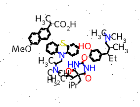 C=CCC1(CC(C)C)C(=O)NC(=O)NC1=O.CC(CN1c2ccccc2Sc2ccccc21)N(C)C.CC[C@@H](c1cccc(O)c1)[C@@H](C)CN(C)C.COc1ccc2cc([C@H](C)C(=O)O)ccc2c1